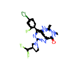 Cc1nc2c(-c3ccc(Cl)cc3F)nc(N3CCC(C(F)F)C3)nc2c(=O)n1C